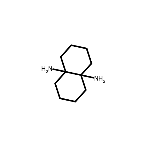 NC12CCCCC1(N)CCCC2